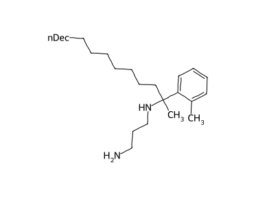 CCCCCCCCCCCCCCCCCC(C)(NCCCN)c1ccccc1C